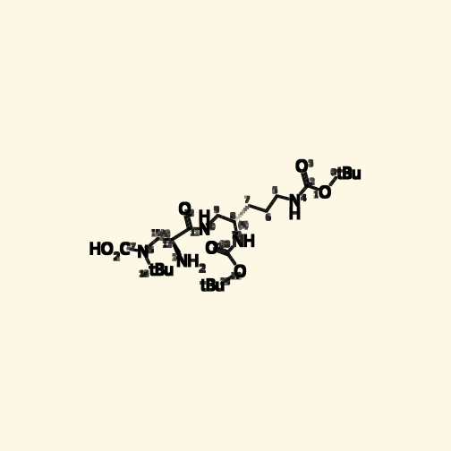 CC(C)(C)OC(=O)NCCC[C@@H](CNC(=O)[C@@H](N)CN(C(=O)O)C(C)(C)C)NC(=O)OC(C)(C)C